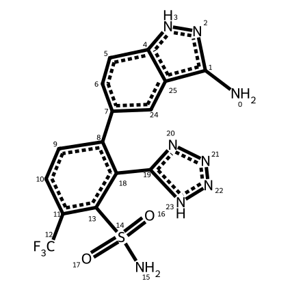 Nc1n[nH]c2ccc(-c3ccc(C(F)(F)F)c(S(N)(=O)=O)c3-c3nnn[nH]3)cc12